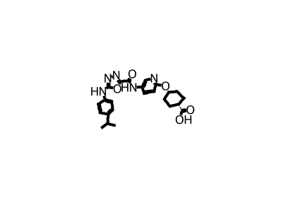 CC(C)c1ccc(Nc2nnc(C(=O)Nc3ccc(O[C@H]4CC[C@@H](C(=O)O)CC4)nc3)o2)cc1